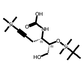 CC(C)(C)[Si](C)(C)O[C@H](CO)[C@H](CC#C[Si](C)(C)C)NC(=O)O